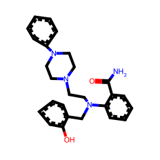 NC(=O)c1ccccc1N(CCN1CCN(c2ccccc2)CC1)Cc1ccccc1O